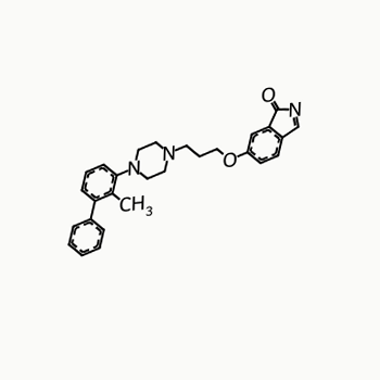 Cc1c(-c2ccccc2)cccc1N1CCN(CCCOc2ccc3c(c2)C(=O)N=C3)CC1